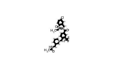 CCS(=O)(=O)c1ccc(Cl)cc1CNC(=O)c1ccc(CN2CCCC(CNC(C)=O)C2)c(C(F)(F)F)c1